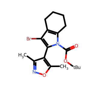 Cc1noc(C)c1-c1c(Br)c2c(n1C(=O)OC(C)(C)C)CCCC2